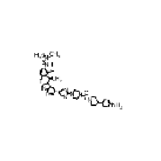 C=C(c1c(F)ccc(NSN(C)CC)c1F)C1CNc2ncc(-c3cnc(N4CCN(C(=O)CN5CCC(c6ccc(N)cc6)CC5)CC4)nc3)cc21